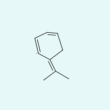 CC(C)=C1[C]=CC=CC1